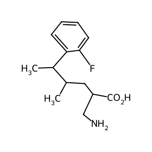 CC(CC(CN)C(=O)O)C(C)c1ccccc1F